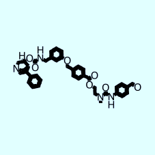 CN(CCOC(=O)c1ccc(COc2cccc(CNC(=O)O[C@H]3CN4CCC3C(c3ccccc3)C4)c2)cc1)C(=O)Nc1ccc(C=O)cc1